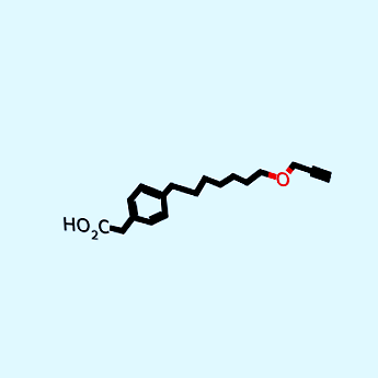 C#CCOCCCCCCCc1ccc(CC(=O)O)cc1